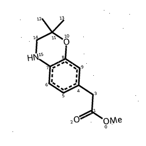 COC(=O)Cc1ccc2c(c1)OC(C)(C)CN2